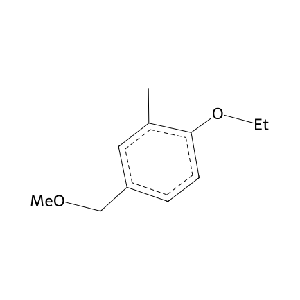 CCOc1ccc(COC)cc1C